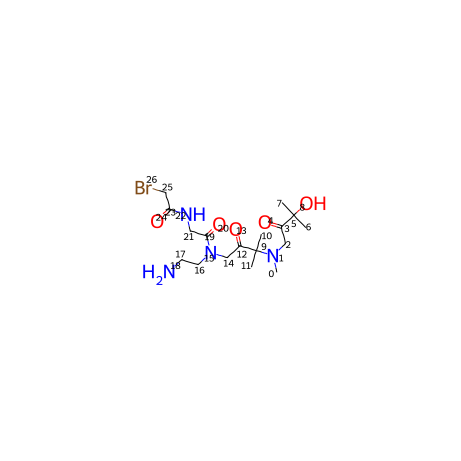 CN(CC(=O)C(C)(C)O)C(C)(C)C(=O)CN(CCN)C(=O)CNC(=O)CBr